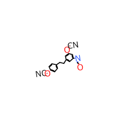 N#COc1ccc(CCc2cc(N=C=O)cc(OC#N)c2)cc1